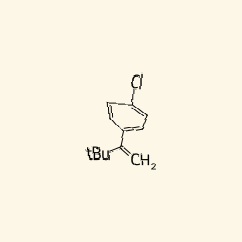 C=C(c1ccc(Cl)cc1)C(C)(C)C